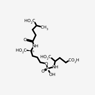 CC(CCC(=O)N[C@@H](CCCOP(=O)(O)NC(CCC(=O)O)C(=O)O)C(=O)O)C(=O)O